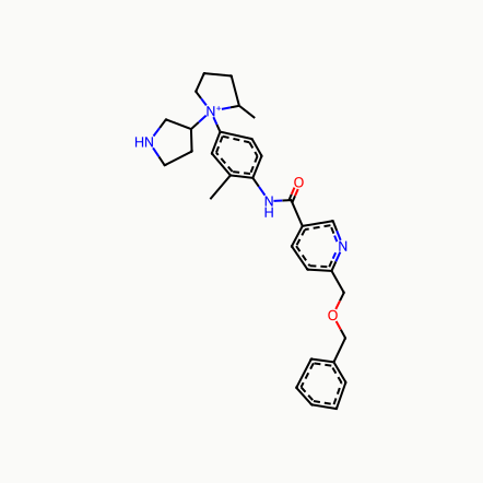 Cc1cc([N+]2(C3CCNC3)CCCC2C)ccc1NC(=O)c1ccc(COCc2ccccc2)nc1